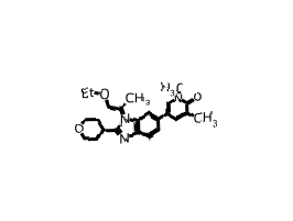 CCOC[C@@H](C)n1c(C2CCOCC2)nc2ccc(-c3cc(C)c(=O)n(C)c3)cc21